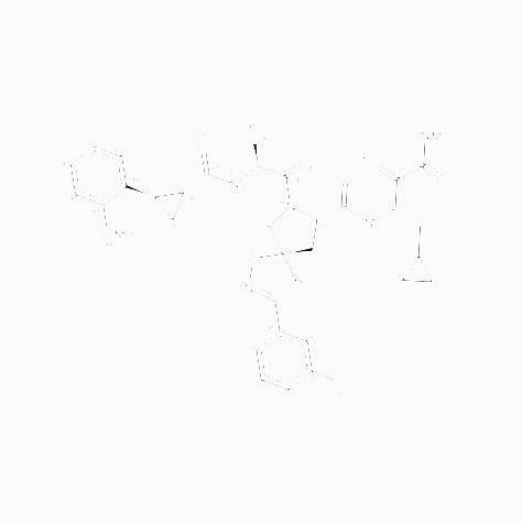 CNC(=O)C(=O)[C@H](CC1CC1)NC(=O)[C@@H]1C[C@]2(CC(c3cccc(Cl)c3)=NO2)CN1C(=O)[C@@H](NC(=O)[C@@H]1C[C@H]1c1ccccc1OC)C(C)(C)C